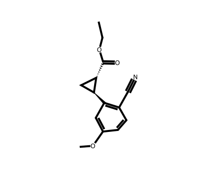 CCOC(=O)[C@H]1C[C@@H]1c1cc(OC)ccc1C#N